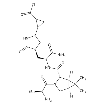 CC(C)(C)[C@H](N)C(=O)N1C[C@H]2[C@@H]([C@H]1C(=O)N[C@@H](C[C@@H]1CC(C3CC3C(=O)Cl)NC1=O)C(N)=O)C2(C)C